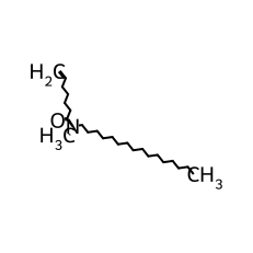 C=CCCCCC(=O)N(C)CCCCCCCCCCCCCCCC